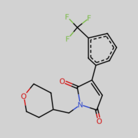 O=C1C=C(c2cccc(C(F)(F)F)c2)C(=O)N1CC1CCOCC1